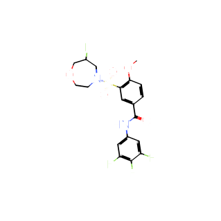 COc1ccc(C(=O)Nc2cc(F)c(F)c(F)c2)cc1S(=O)(=O)N1CCOCC(F)C1